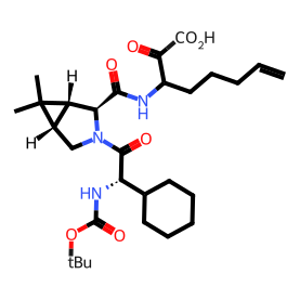 C=CCCCC(NC(=O)[C@@H]1[C@@H]2[C@H](CN1C(=O)[C@@H](NC(=O)OC(C)(C)C)C1CCCCC1)C2(C)C)C(=O)C(=O)O